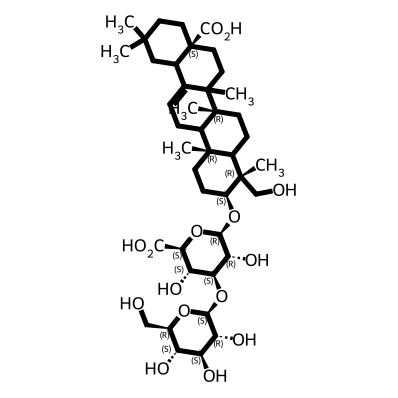 CC1(C)CC[C@]2(C(=O)O)CCC3(C)C(=CCC4[C@@]5(C)CC[C@H](O[C@@H]6O[C@H](C(=O)O)[C@@H](O)[C@H](O[C@@H]7O[C@H](CO)[C@@H](O)[C@H](O)[C@H]7O)[C@H]6O)[C@@](C)(CO)C5CC[C@]43C)C2C1